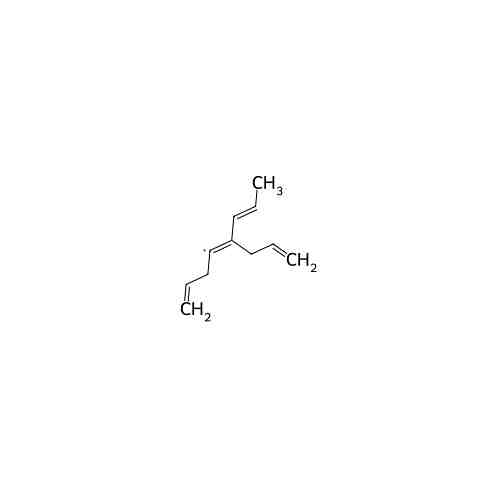 C=CC/[C]=C(/C=CC)CC=C